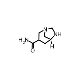 NC(=O)C1C[C@@H]2C[N@](CN2)C1